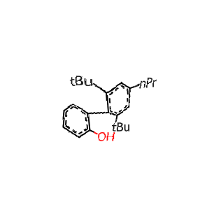 CCCc1cc(C(C)(C)C)c(-c2ccccc2O)c(C(C)(C)C)c1